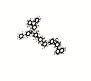 c1ccc(-c2ccc(N(c3ccc(-c4ccc(-c5cccc(-c6ccc7oc8ccc(-c9cccc%10ccccc9%10)cc8c7c6)c5)cc4)cc3)c3ccc4c5ccccc5c5ccccc5c4c3)cc2)cc1